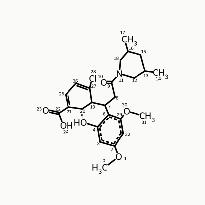 COc1cc(O)c(C(CC(=O)N2CC(C)CC(C)C2)C2CC(C(=O)O)=CC=C2Cl)c(OC)c1